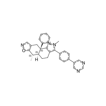 C[C@@H]1c2oncc2C[C@]2(c3ccccc3)c3nn(C)c(-c4ccc(-c5cncnc5)cc4)c3CC[C@@H]12